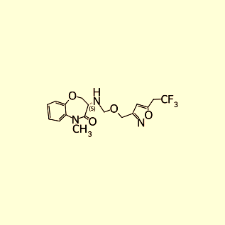 CN1C(=O)[C@@H](NCOCc2cc(CC(F)(F)F)on2)COc2ccccc21